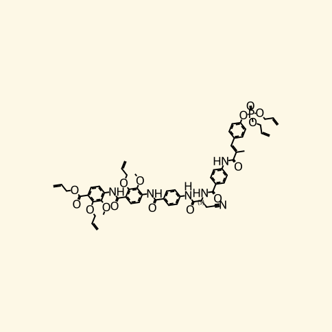 C=CCOC(=O)c1ccc(NC(=O)c2ccc(NC(=O)c3ccc(NC(=O)[C@H](CC#N)NC(=O)c4ccc(NC(=O)C(C)=Cc5ccc(OP(=O)(OCC=C)OCC=C)cc5)cc4)cc3)c(OC)c2OCC=C)c(OC)c1OCC=C